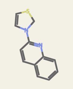 C1=CN(c2ccc3ccccc3n2)CS1